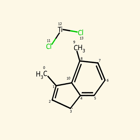 CC1=C[CH]c2cccc(C)c21.[Cl][Ti][Cl]